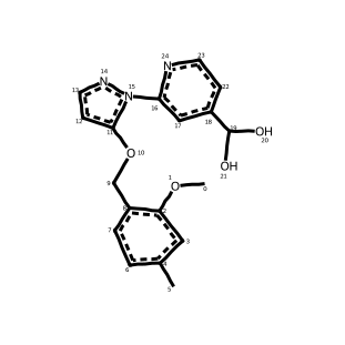 COc1cc(C)ccc1COc1ccnn1-c1cc(C(O)O)ccn1